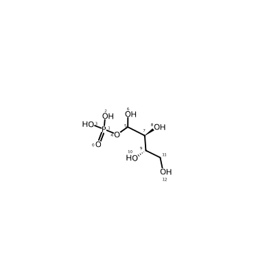 O=P(O)(O)OC(O)[C@@H](O)[C@@H](O)CO